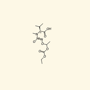 CCOC(=O)OC(C)ON=[N+]([O-])N(C)[C@H](C(=O)O)C(C)C